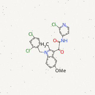 COc1ccc2c(c1)c(C(=O)C(=O)Nc1ccnc(Cl)c1)c(C)n2Cc1ccc(Cl)cc1Cl